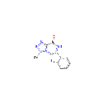 CC(C)c1nnc2c(=O)[nH]c3c(n12)Cc1ccccc1-3